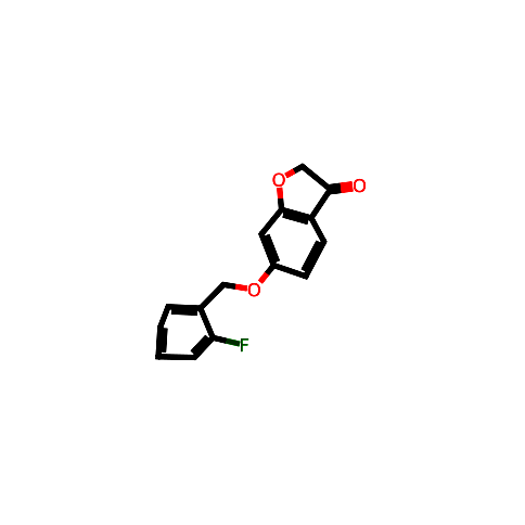 O=C1COc2cc(OCc3ccccc3F)ccc21